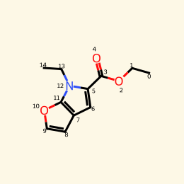 CCOC(=O)c1cc2ccoc2n1CC